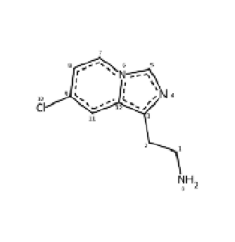 NCCc1ncn2ccc(Cl)cc12